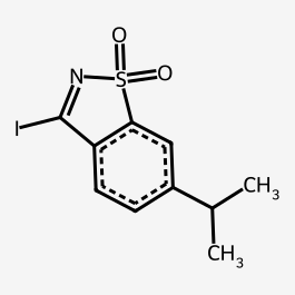 CC(C)c1ccc2c(c1)S(=O)(=O)N=C2I